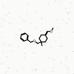 COC=C1CCC(C)(COCc2ccccc2)CC1